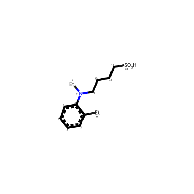 CCc1ccccc1N(CC)CCCCS(=O)(=O)O